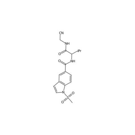 CC(C)C(NC(=O)c1ccc2c(ccn2S(C)(=O)=O)c1)C(=O)NCC#N